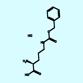 Cl.N[C@@H](CCCNC(=O)OCc1ccccc1)C(=O)O